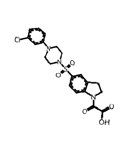 O=C(O)C(=O)N1CCc2cc(S(=O)(=O)N3CCN(c4cccc(Cl)c4)CC3)ccc21